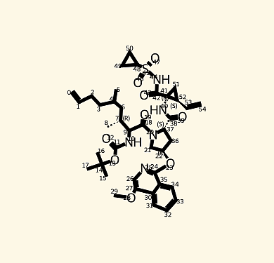 C=CCCC(C)C[C@@H](C)C(NC(=O)OC(C)(C)C)C(=O)N1C[C@H](Oc2ncc(OC)c3ccccc23)C[C@H]1C(=O)N[C@]1(C(=O)NS(=O)(=O)C2CC2)C[C@H]1C=C